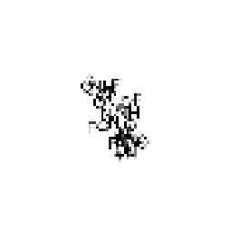 C[CH]C(=O)N[C@@H](CC)C(=O)N1C[C@@H](F)C[C@H]1Cc1c(-c2nc3cc(F)ccc3n2C[C@@H]2C[C@H](F)CN2C(=O)[C@H](CC)NC(=O)[C@H](C)N(C)C(=O)OC(C)(C)C)[nH]c2cc(F)ccc12